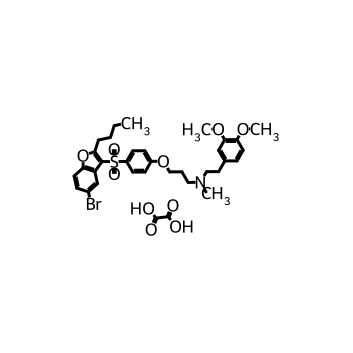 CCCCc1oc2ccc(Br)cc2c1S(=O)(=O)c1ccc(OCCCN(C)CCc2ccc(OC)c(OC)c2)cc1.O=C(O)C(=O)O